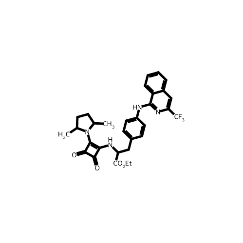 CCOC(=O)C(Cc1ccc(Nc2nc(C(F)(F)F)cc3ccccc23)cc1)Nc1c(N2C(C)CCC2C)c(=O)c1=O